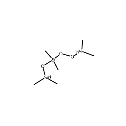 C[SiH](C)OO[Si](C)(C)O[SiH](C)C